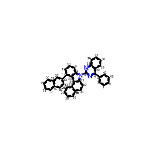 c1ccc(-c2nc(-n3c4cccc(-c5ccc6ccccc6c5)c4c4c5ccccc5ccc43)nc3ccccc23)cc1